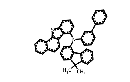 CC1(C)c2ccccc2-c2c(N(c3cccc(-c4ccccc4)c3)c3cccc4sc5c6ccccc6ccc5c34)cccc21